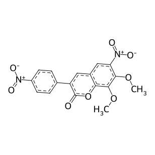 COc1c([N+](=O)[O-])cc2cc(-c3ccc([N+](=O)[O-])cc3)c(=O)oc2c1OC